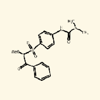 CON(C(=O)c1ccccc1)S(=O)(=O)c1ccc(NC(=O)N(C)C)cc1